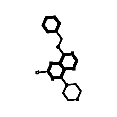 Clc1nc(N2CCSCC2)c2ncnc(OCc3ccccc3)c2n1